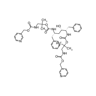 CC(C)(CNC(=O)OCc1cccnc1)OC(=O)N[C@@H](Cc1ccccc1)C[C@H](O)[C@H](Cc1ccccc1)NC(=O)OC(C)(C)CNC(=O)OCc1cccnc1